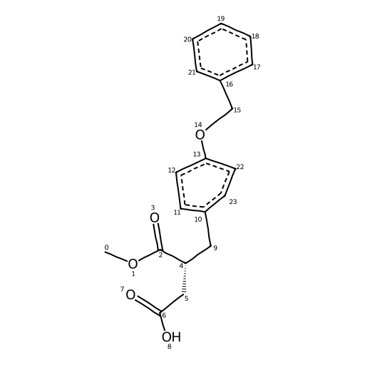 COC(=O)[C@@H](CC(=O)O)Cc1ccc(OCc2ccccc2)cc1